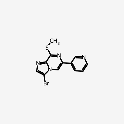 CSc1nc(-c2cccnc2)cn2c(Br)cnc12